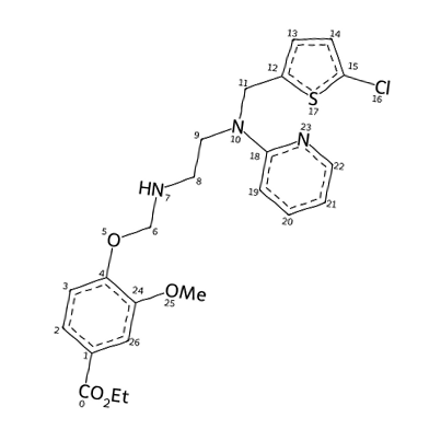 CCOC(=O)c1ccc(OCNCCN(Cc2ccc(Cl)s2)c2ccccn2)c(OC)c1